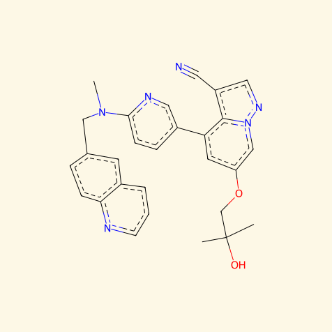 CN(Cc1ccc2ncccc2c1)c1ccc(-c2cc(OCC(C)(C)O)cn3ncc(C#N)c23)cn1